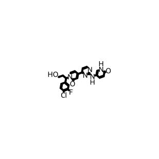 O=c1ccc(Nc2nccc(-c3ccn(C(CCO)c4ccc(Cl)c(F)c4)c(=O)c3)n2)c[nH]1